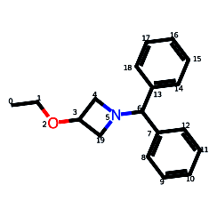 CCOC1CN(C(c2ccccc2)c2ccccc2)C1